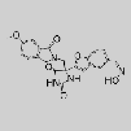 COc1ccc2c(c1)C(=O)N(C[C@@]1(c3cc4cc(/C=N\O)ccc4o3)NC(=O)NC1=O)C2